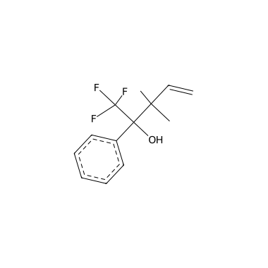 C=CC(C)(C)C(O)(c1ccccc1)C(F)(F)F